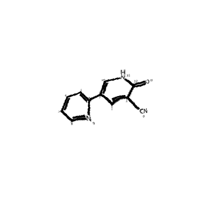 N#Cc1cc(-c2ccccn2)c[nH]c1=O